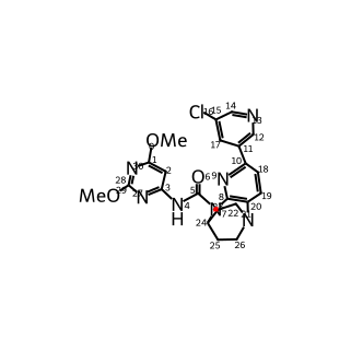 COc1cc(NC(=O)N2c3nc(-c4cncc(Cl)c4)ccc3N3CCC2CC3)nc(OC)n1